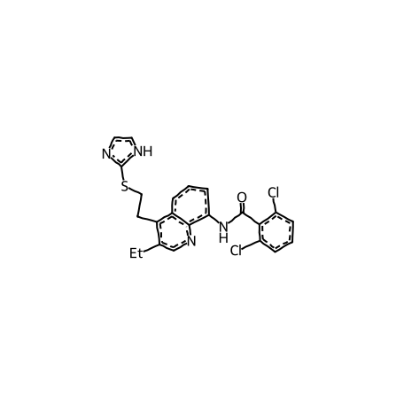 CCc1cnc2c(NC(=O)c3c(Cl)cccc3Cl)cccc2c1CCSc1ncc[nH]1